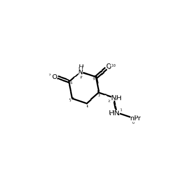 CCCNNC1CCC(=O)NC1=O